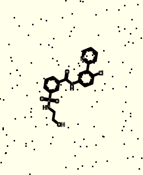 O=C(Nc1ccc(Cl)c(-c2ccccn2)c1)c1cccc(S(=O)(=O)NCCO)c1